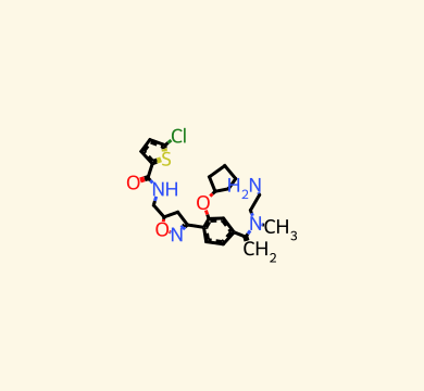 C=C(c1ccc(C2=NOC(CNC(=O)c3ccc(Cl)s3)C2)c(OC2CCCC2)c1)N(C)CCN